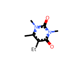 CCc1c(C)n(C)c(=O)n(C)c1=O